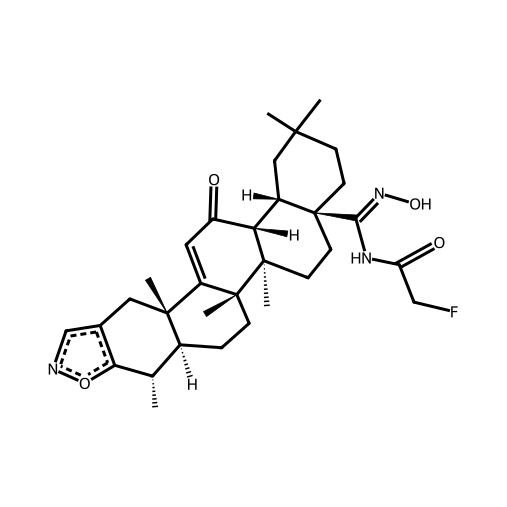 C[C@@H]1c2oncc2C[C@]2(C)C3=CC(=O)[C@@H]4[C@@H]5CC(C)(C)CC[C@]5(/C(=N/O)NC(=O)CF)CC[C@@]4(C)[C@]3(C)CC[C@@H]12